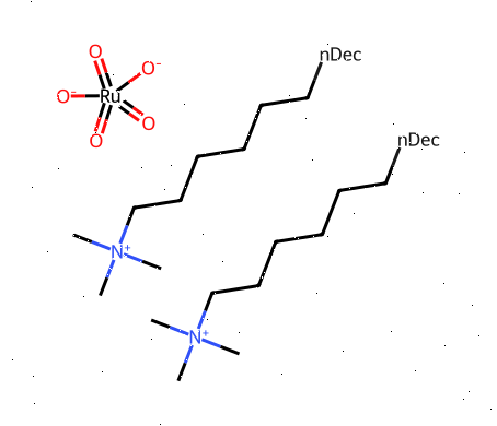 CCCCCCCCCCCCCCCC[N+](C)(C)C.CCCCCCCCCCCCCCCC[N+](C)(C)C.[O]=[Ru](=[O])(=[O])([O-])[O-]